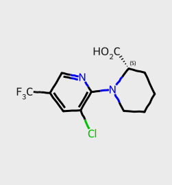 O=C(O)[C@@H]1CCCCN1c1ncc(C(F)(F)F)cc1Cl